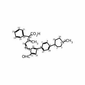 CN1CCC(c2ccc(-c3cc(C=O)n(/N=C\N(C)C(C(=O)O)c4ccccc4)c3)cc2)CC1